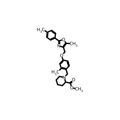 COC(=O)C1CCCCN1Cc1ccc(OCc2nc(-c3ccc(C)cc3)oc2C)cc1C